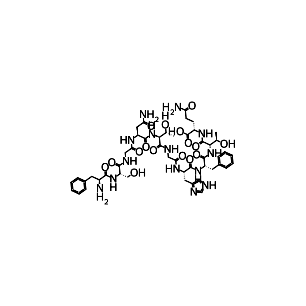 C[C@@H](O)[C@H](NC(=O)[C@H](CC(N)=O)NC(=O)CNC(=O)[C@H](CO)NC(=O)[C@@H](N)Cc1ccccc1)C(=O)NCC(=O)N[C@@H](Cc1c[nH]cn1)C(=O)N[C@@H](Cc1ccccc1)C(=O)N[C@H](C(=O)N[C@@H](CCC(N)=O)C(=O)O)[C@@H](C)O